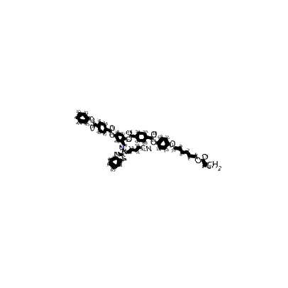 C=CC(=O)OCCCCCCOc1ccc(OC(=O)C2CCC(C(=O)Oc3ccc(OC(=O)C4CCC(C(=O)Oc5ccccc5)CC4)cc3/C=N/N(CCCCC#N)c3nc4ccccc4s3)CC2)cc1